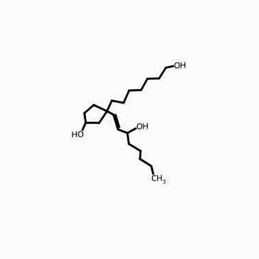 CCCCCC(O)C=CC1(CCCCCCCO)CCC(O)C1